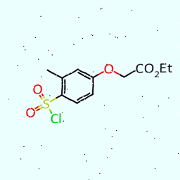 CCOC(=O)COc1ccc(S(=O)(=O)Cl)c(C)c1